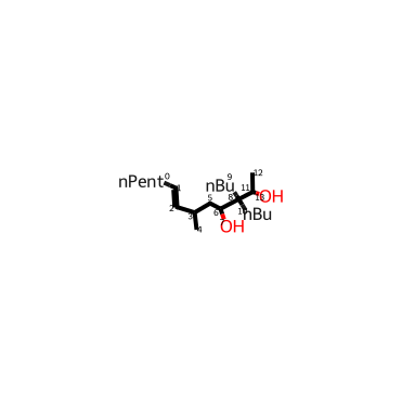 CCCCCC=CC(C)CC(O)C(CCCC)(CCCC)C(C)O